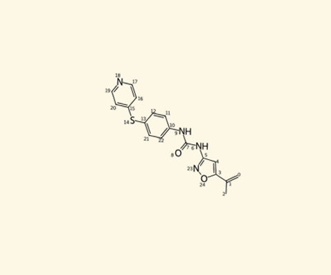 C=C(C)c1cc(NC(=O)Nc2ccc(Sc3ccncc3)cc2)no1